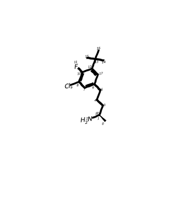 C[C@@H](N)CCCc1cc(Cl)c(F)c(C(C)(C)C)c1